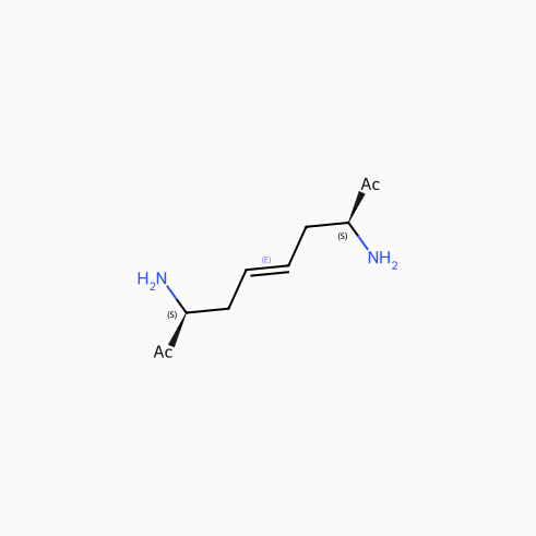 CC(=O)[C@@H](N)C/C=C/C[C@H](N)C(C)=O